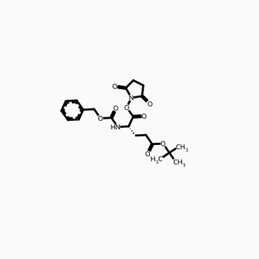 CC(C)(C)OC(=O)CC[C@H](NC(=O)OCc1ccccc1)C(=O)ON1C(=O)CCC1=O